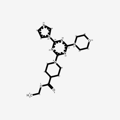 CCOC(=O)C1CCN(c2nc(N3CCOCC3)nc(-n3ccnc3)n2)CC1